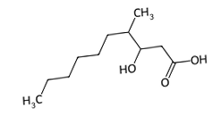 CCCCCCC(C)C(O)CC(=O)O